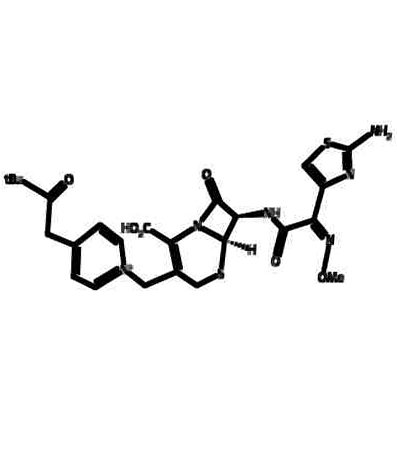 CO/N=C(\C(=O)N[C@@H]1C(=O)N2C(C(=O)O)=C(C[n+]3ccc(CC(=O)C(C)(C)C)cc3)CS[C@H]12)c1csc(N)n1